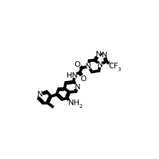 Cc1ccncc1-c1cc(N)c2cnc(NC(=O)C(=O)N3CCn4c(nnc4C(F)(F)F)C3)cc2c1